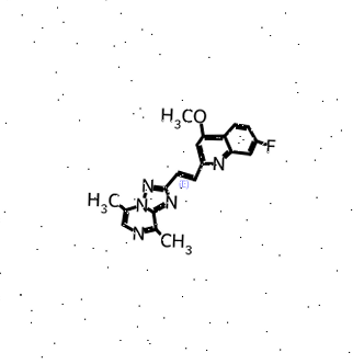 COc1cc(/C=C/c2nc3c(C)ncc(C)n3n2)nc2cc(F)ccc12